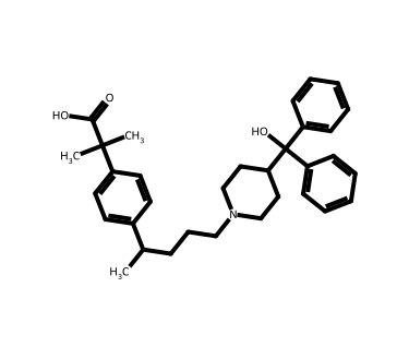 CC(CCCN1CCC(C(O)(c2ccccc2)c2ccccc2)CC1)c1ccc(C(C)(C)C(=O)O)cc1